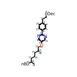 CCCCCCCCCCCCc1ccc(-c2ncc(OCC(F)CCCC(C)CCCC)cn2)cc1